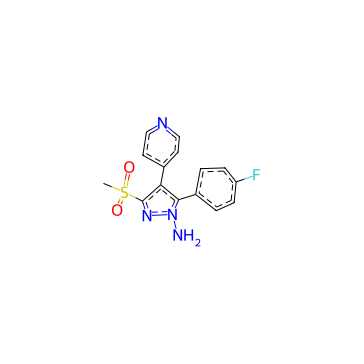 CS(=O)(=O)c1nn(N)c(-c2ccc(F)cc2)c1-c1ccncc1